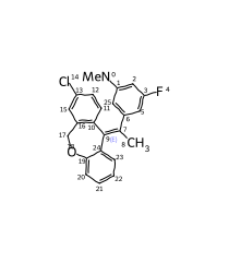 CNc1cc(F)cc(/C(C)=C2\c3ccc(Cl)cc3COc3ccccc32)c1